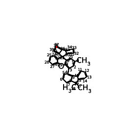 Cc1cc(-c2cccc3c2-c2ccccc2C3(C)C)c2c(c1)C1(c3ccccc3O2)c2ccccc2-c2ccccc21